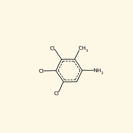 Cc1c(N)cc(Cl)c(Cl)c1Cl